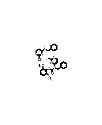 Cc1cccc(C)c1OC(=O)N(Cc1ccccc1)c1ccnc(Cl)n1.Clc1nccc(NCc2ccccc2)n1